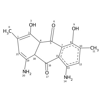 CC1=C(O)C2C(=O)c3c(O)c(C)cc(N)c3C(=O)C2C(N)=C1